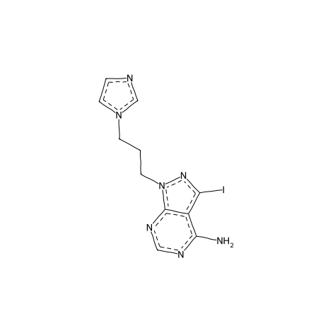 Nc1ncnc2c1c(I)nn2CCCn1ccnc1